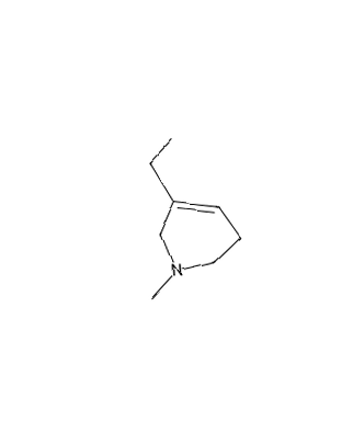 CCC1=CCCN(C)C1